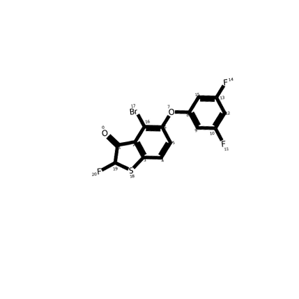 O=C1c2c(ccc(Oc3cc(F)cc(F)c3)c2Br)SC1F